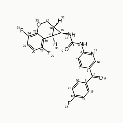 O=C(Nc1ccc(C(=O)c2ccc(F)cc2)cn1)N[C@@H]1[C@H]2COc3c(F)ccc(F)c3[C@@H]21